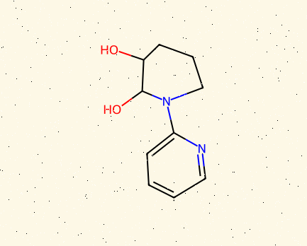 OC1CCCN(c2cc[c]cn2)C1O